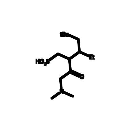 CCC(CC(C)(C)C)C(CS(=O)(=O)O)C(=O)CN(C)C